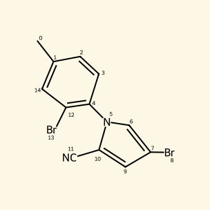 Cc1ccc(-n2cc(Br)cc2C#N)c(Br)c1